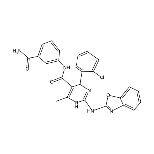 CC1=C(C(=O)Nc2cccc(C(N)=O)c2)C(c2ccccc2Cl)N=C(Nc2nc3ccccc3o2)N1